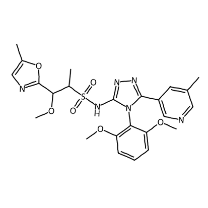 COc1cccc(OC)c1-n1c(NS(=O)(=O)C(C)C(OC)c2ncc(C)o2)nnc1-c1cncc(C)c1